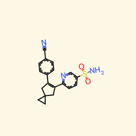 N#Cc1ccc(C2=C(c3ccc(S(N)(=O)=O)cn3)CC3(CC3)C2)cc1